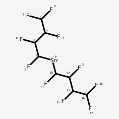 FC(F)C(F)C(F)[CH](F)[Sn][CH](F)C(F)C(F)C(F)F